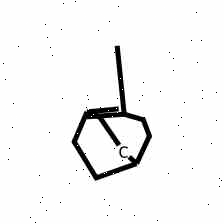 CC1=C2CCC(CC1)CC2